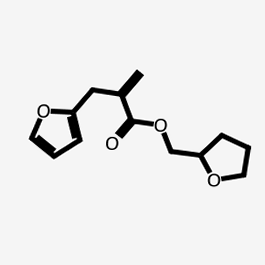 C=C(Cc1ccco1)C(=O)OCC1CCCO1